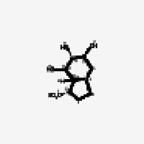 O=C(O)[C@H]1CCN2C[C@H](O)[C@@H](O)[C@H](O)[C@@H]12